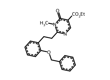 CCOC(=O)c1cnc(CCc2ccccc2OCc2ccccc2)n(C)c1=O